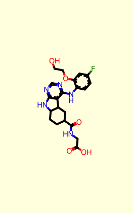 O=C(O)CNC(=O)C1CCC2Nc3ncnc(Nc4ccc(F)cc4OCCO)c3C2C1